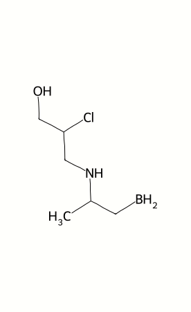 BCC(C)NCC(Cl)CO